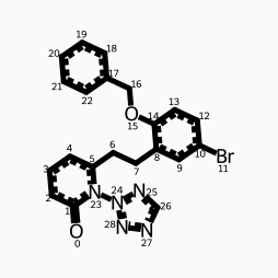 O=c1cccc(CCc2cc(Br)ccc2OCc2ccccc2)n1-n1ncnn1